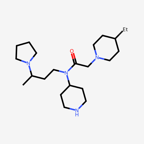 CCC1CCN(CC(=O)N(CCC(C)N2CCCC2)C2CCNCC2)CC1